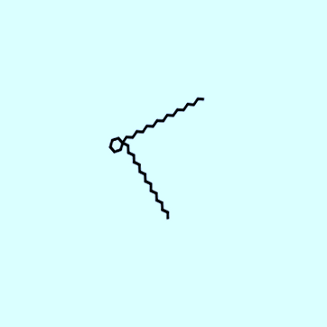 CCCCCCCCCCCCCCCCC1(CCCCCCCCCCCCCCCC)CCCCC1